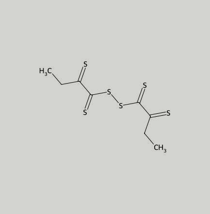 CCC(=S)C(=S)SSC(=S)C(=S)CC